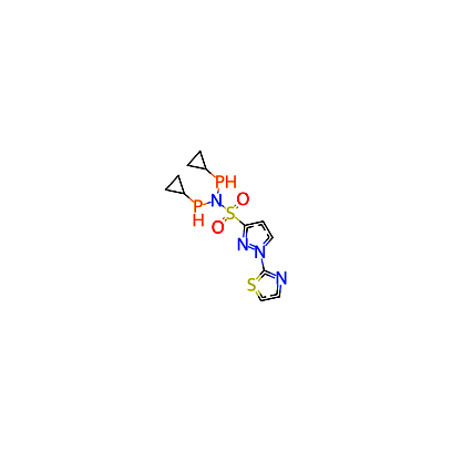 O=S(=O)(c1ccn(-c2nccs2)n1)N(PC1CC1)PC1CC1